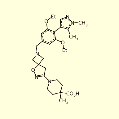 CCOc1cc(CN2CC3(CC(N4CCC(C)(C(=O)O)CC4)=NO3)C2)cc(OCC)c1-c1cnn(C)c1C